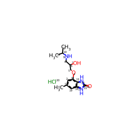 Cc1cc(OCC(O)CNC(C)C)c2[nH]c(=O)[nH]c2c1.Cl